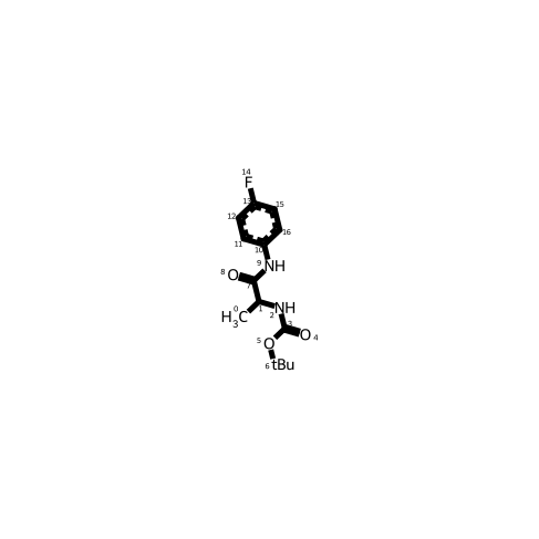 CC(NC(=O)OC(C)(C)C)C(=O)Nc1ccc(F)cc1